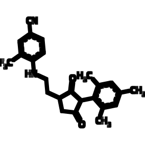 Cc1cc(C)c(C2C(=O)CC(CCNc3ccc(C#N)cc3C(F)(F)F)C2=O)c(C)c1